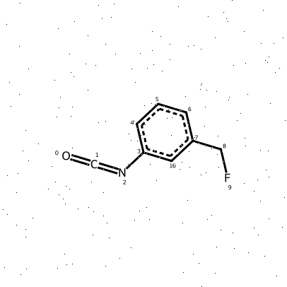 O=C=Nc1cccc(CF)c1